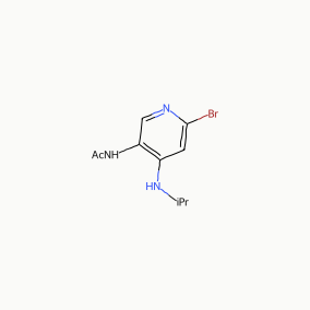 CC(=O)Nc1cnc(Br)cc1NC(C)C